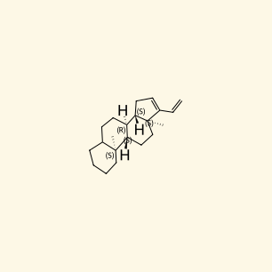 C=CC1=CC[C@H]2[C@@H]3CCC4CCCC[C@]4(C)[C@H]3CC[C@]12C